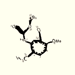 COc1ccc(C)c(NC(=O)OC(C)(C)C)c1Cl